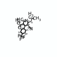 Cc1nc(CC(C)C)c(C#N)c(-c2ccc(C(F)(F)F)cc2)c1C(=O)O